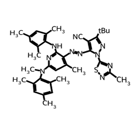 Cc1cc(C)c(Nc2nc(N(C)c3c(C)cc(C)cc3C)cc(C)c2N=Nc2c(C#N)c(C(C)(C)C)nn2-c2nc(C)ns2)c(C)c1